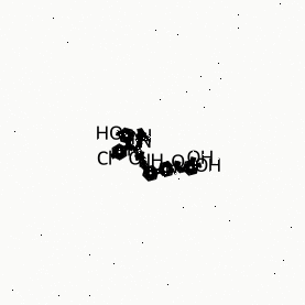 Cc1nnc2n1-c1ccc(O)cc1C(c1ccc(Cl)cc1)=N[C@H]2CC(=O)NCc1cccc(C2CCN(C(=O)Cc3ccc(O)c(O)c3)CC2)c1